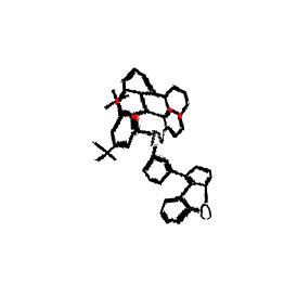 CC(C)(C)c1cc(N(c2cccc(-c3cccc4oc5ccccc5c34)c2)c2ccccc2C2C=CC=C3C=CC=C(C4CCCCC4)C32)cc(C(C)(C)C)c1